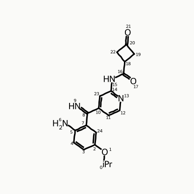 CC(C)Oc1ccc(N)c(C(=N)c2ccnc(NC(=O)C3CC(=O)C3)c2)c1